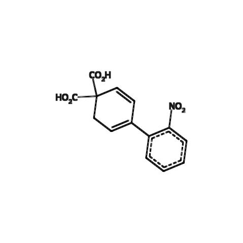 O=C(O)C1(C(=O)O)C=CC(c2ccccc2[N+](=O)[O-])=CC1